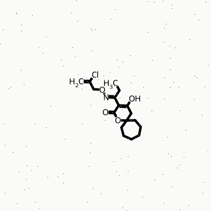 C=C(Cl)CON=C(CC)C1=C(O)CC2(CCCCCC2)OC1=O